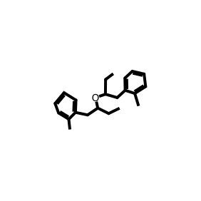 CCC(Cc1ccccc1C)OC(CC)Cc1ccccc1C